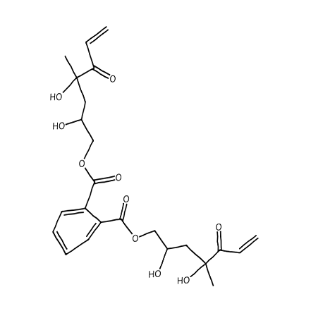 C=CC(=O)C(C)(O)CC(O)COC(=O)c1ccccc1C(=O)OCC(O)CC(C)(O)C(=O)C=C